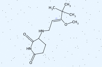 CO/C(=C\CNC1CCC(=O)NC1=O)C(C)(C)C